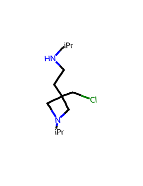 CC(C)NCCC1(CCl)CN(C(C)C)C1